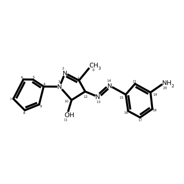 CC1=NN(c2ccccc2)C(O)C1/N=N/c1cccc(N)c1